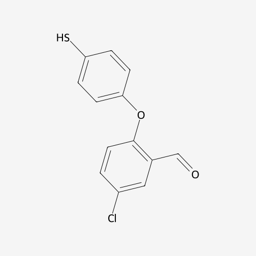 O=Cc1cc(Cl)ccc1Oc1ccc(S)cc1